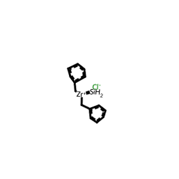 [Cl-].[SiH2]=[Zr+]([CH2]c1ccccc1)[CH2]c1ccccc1